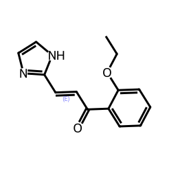 CCOc1ccccc1C(=O)/C=C/c1ncc[nH]1